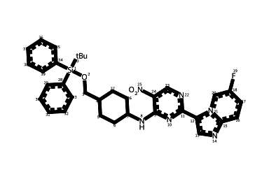 CC(C)(C)[Si](OCC1CCC(Nc2nc(-c3cnc4ccc(F)cn34)ncc2[N+](=O)[O-])CC1)(c1ccccc1)c1ccccc1